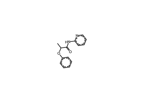 CC(Oc1ccccc1)C(=O)Nc1ccccn1